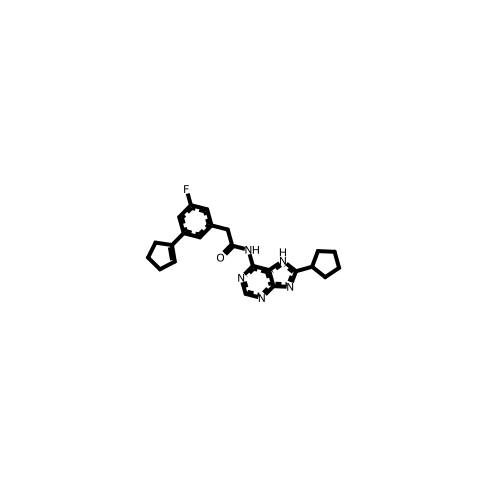 O=C(Cc1cc(F)cc(C2=CCCC2)c1)Nc1ncnc2nc(C3CCCC3)[nH]c12